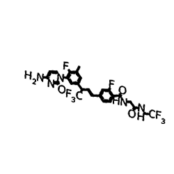 Cc1cc(C(/C=C/c2ccc(C(=O)NCC(=O)NCC(F)(F)F)c(F)c2)C(F)(F)F)cc(-n2ccc(N)nc2=O)c1F